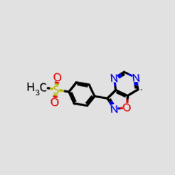 CS(=O)(=O)c1ccc(-c2noc3[c]ncnc23)cc1